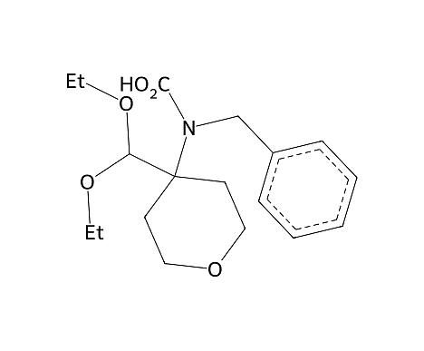 CCOC(OCC)C1(N(Cc2ccccc2)C(=O)O)CCOCC1